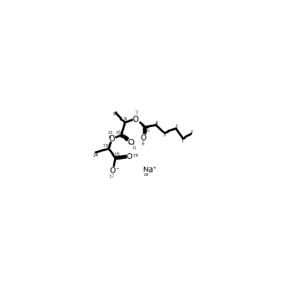 CCCCCC(=O)OC(C)C(=O)OC(C)C(=O)[O-].[Na+]